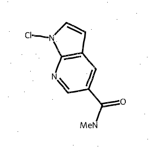 CNC(=O)c1cnc2c(ccn2Cl)c1